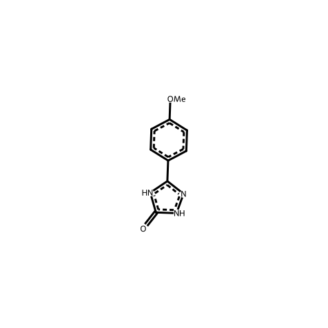 COc1ccc(-c2n[nH]c(=O)[nH]2)cc1